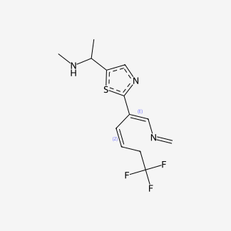 C=N/C=C(\C=C/CC(F)(F)F)c1ncc(C(C)NC)s1